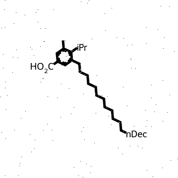 CCCCCCCCCCCCCCCCCCCCCCc1cc(C(=O)O)cc(C)c1C(C)C